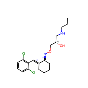 CCCNC[C@H](O)CO/N=C1\CCCC\C1=C/c1c(Cl)cccc1Cl